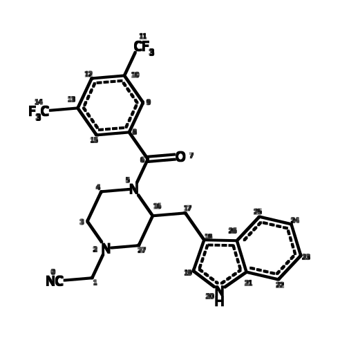 N#CCN1CCN(C(=O)c2cc(C(F)(F)F)cc(C(F)(F)F)c2)C(Cc2c[nH]c3ccccc23)C1